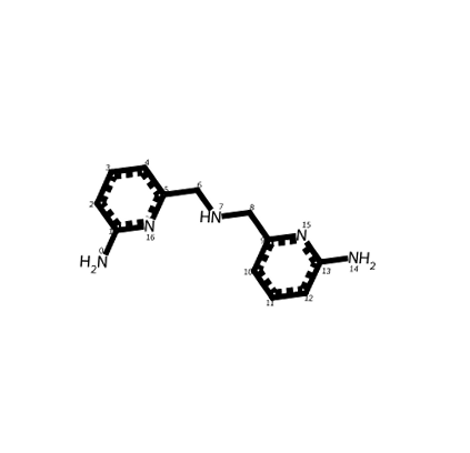 Nc1cccc(CNCc2cccc(N)n2)n1